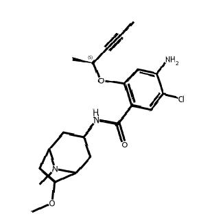 CC#C[C@H](C)Oc1cc(N)c(Cl)cc1C(=O)NC1CC2CC(OC)C(C1)N2C